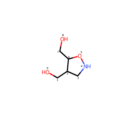 OCC1CNOC1CO